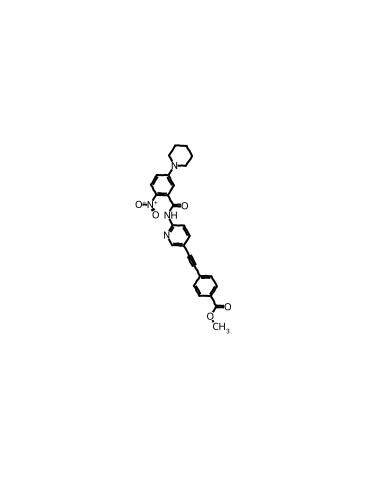 COC(=O)c1ccc(C#Cc2ccc(NC(=O)c3cc(N4CCCCC4)ccc3[N+](=O)[O-])nc2)cc1